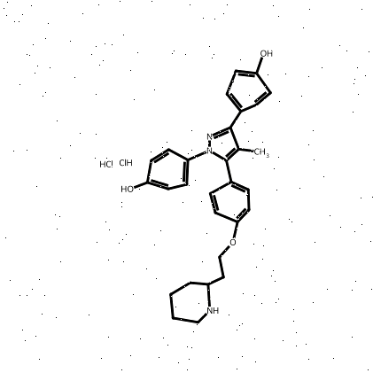 Cc1c(-c2ccc(O)cc2)nn(-c2ccc(O)cc2)c1-c1ccc(OCCC2CCCCN2)cc1.Cl.Cl